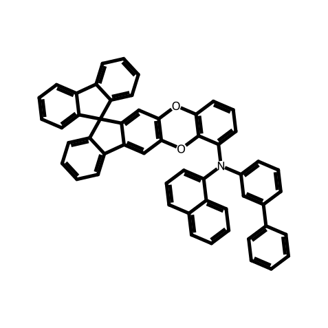 c1ccc(-c2cccc(N(c3cccc4c3Oc3cc5c(cc3O4)C3(c4ccccc4-c4ccccc43)c3ccccc3-5)c3cccc4ccccc34)c2)cc1